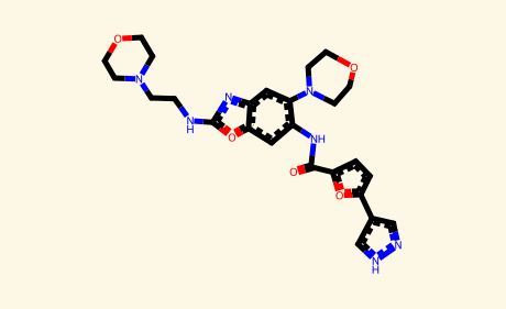 O=C(Nc1cc2oc(NCCN3CCOCC3)nc2cc1N1CCOCC1)c1ccc(-c2cn[nH]c2)o1